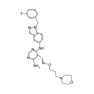 Nc1ncnc(Nc2ccc3c(cnn3Cc3cccc(F)c3)c2)c1/C=N/OCCCN1CCOCC1